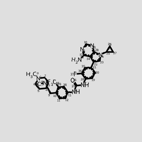 CN1CC2CCC1CN2Cc1ccc(NC(=O)Nc2ccc(-c3cn(C4CC4)c4ncnc(N)c34)cc2F)cc1C(F)(F)F